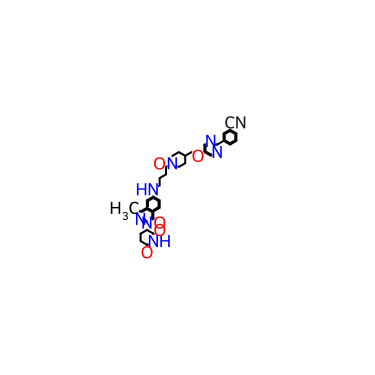 Cc1nn(C2CCC(=O)NC2=O)c(=O)c2ccc(NCCCC(=O)N3CCC(COc4cnc(-c5cccc(C#N)c5)nc4)CC3)cc12